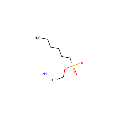 CCCCCCP(=O)(O)OCC.N